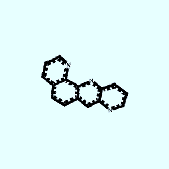 c1cnc2c(c1)ccc1cc3ncccc3nc12